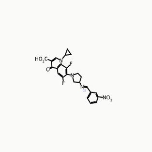 O=C(O)c1cn(C2CC2)c2c(F)c(N3CCC(/N=C/c4cccc([N+](=O)[O-])c4)C3)c(F)cc2c1=O